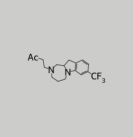 CC(=O)CCN1CCCN2c3cc(C(F)(F)F)ccc3CC2C1